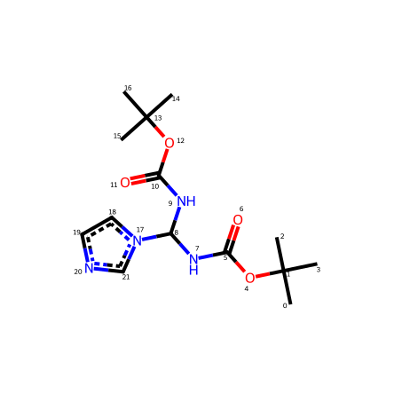 CC(C)(C)OC(=O)NC(NC(=O)OC(C)(C)C)n1ccnc1